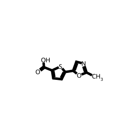 Cc1ncc(-c2ccc(C(=O)O)s2)o1